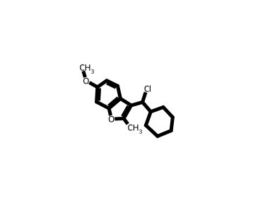 COc1ccc2c(C(Cl)C3CCCCC3)c(C)oc2c1